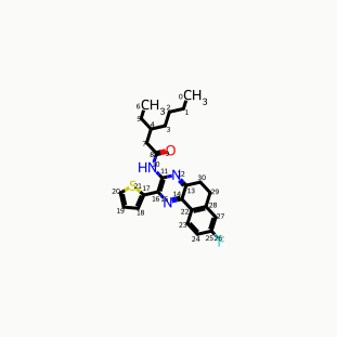 CCCCC(CC)CC(=O)Nc1nc2c(nc1-c1cccs1)-c1ccc(F)cc1CC2